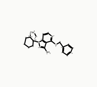 N#CC[C@]1(n2nc(N)c3c(OCc4ccccc4)nccc32)CCCC[C@H]1F